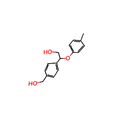 Cc1ccc(OC(CO)c2ccc(CO)cc2)cc1